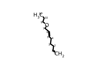 C=CCCCC=CCOCCC